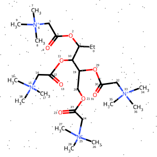 CCC(OC(=O)C[N+](C)(C)C)C(OC(=O)C[N+](C)(C)C)C(COC(=O)C[N+](C)(C)C)OC(=O)C[N+](C)(C)C